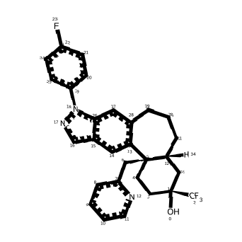 O[C@]1(C(F)(F)F)CC[C@]2(Cc3ccccn3)c3cc4cnn(-c5ccc(F)cc5)c4cc3CCC[C@@H]2C1